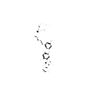 CC(CCCc1cc(Cl)ccc1Oc1cc(F)c(S(=O)(=O)Nc2nccs2)cc1Cl)OC(=O)NCC(=O)O